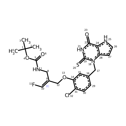 CC(C)(C)OC(=O)NC/C(=C\F)COc1cc(Cn2c(=S)[nH]c(=O)c3[nH]ccc32)ccc1Cl